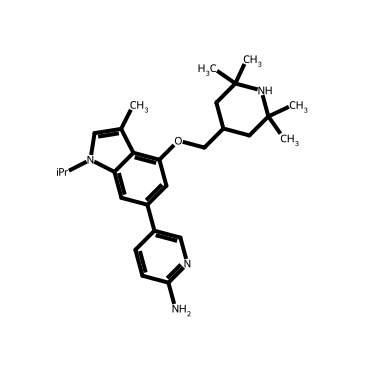 Cc1cn(C(C)C)c2cc(-c3ccc(N)nc3)cc(OCC3CC(C)(C)NC(C)(C)C3)c12